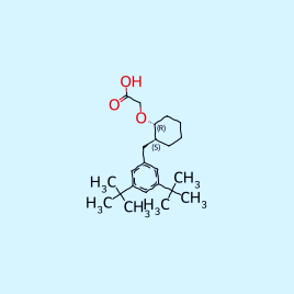 CC(C)(C)c1cc(C[C@@H]2CCCC[C@H]2OCC(=O)O)cc(C(C)(C)C)c1